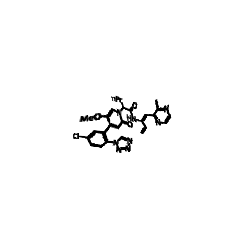 C=C/C(=C\c1nccnc1C)NC(=O)[C@H](CCC)n1cc(OC)c(-c2cc(Cl)ccc2-n2cnnn2)cc1=O